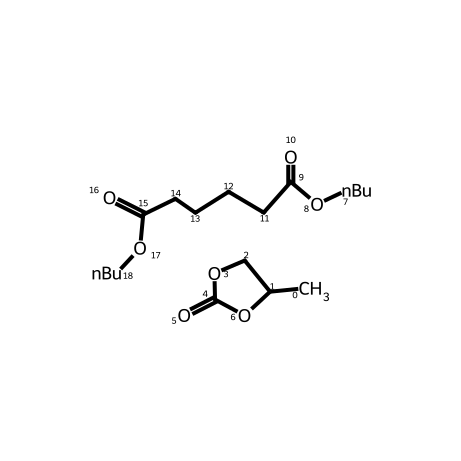 CC1COC(=O)O1.CCCCOC(=O)CCCCC(=O)OCCCC